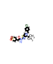 CC(C)[C@H]1c2nc(NC(=O)CC3CCS(=O)(=O)CC3)sc2CN1Cc1ccc(Cl)cc1